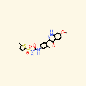 COc1ccc2c(=O)c(-c3ccc(NC(=O)NS(=O)(=O)c4ccc(C)s4)cc3C)n[nH]c2c1